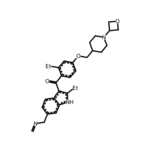 C=NCc1ccc2c(C(=O)c3ccc(OCC4CCN(C5COC5)CC4)cc3CC)c(CC)[nH]c2c1